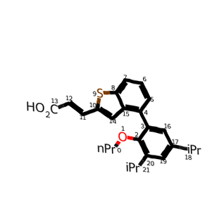 CCCOc1c(-c2cccc3sc(/C=C/C(=O)O)cc23)cc(C(C)C)cc1C(C)C